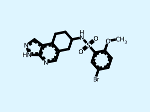 COc1ccc(Br)cc1S(=O)(=O)NC1CCc2c(cnc3[nH]ncc23)C1